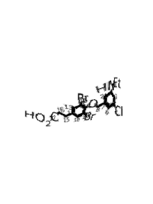 CCNc1cc(Cl)cc(COc2c(Br)cc(CCC(=O)O)cc2Br)c1